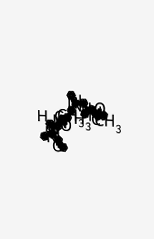 CC1(C)c2ccccc2C(=O)n2c1nc1c3c4ccccc4n(-c4cccc(-c5nc(-c6ccccc6)nc(-c6ccc(-c7ccc8c(c7)C(C)(C)c7nc9c%10c%11ccccc%11n(-c%11nc(-c%12ccccc%12)nc(-c%12ccc%13c(c%12)oc%12ccccc%12%13)n%11)c%10ccc9n7C8=O)cc6)n5)c4)c3ccc12